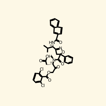 CC(C)[C@H](NC(=O)c1ccc2ccccc2c1)C1=NOC(C(=O)N(C)[C@@H](CC(=O)O)C(=O)COC(=O)c2c(Cl)cccc2Cl)(c2ccccc2)C1